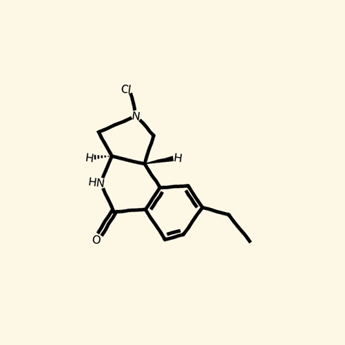 CCc1ccc2c(c1)[C@H]1CN(Cl)C[C@@H]1NC2=O